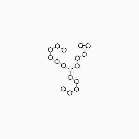 c1ccc(-c2cccc(-c3cccc(-c4cccc(-c5ccc(-c6ccc(-c7nc(-c8cccc(-c9cccc(-c%10cccc(-c%11cccc(-c%12ccccc%12)c%11)c%10)c9)c8)nc(-c8cccc(-c9cccc(-c%10cccc(-n%11c%12ccccc%12c%12ccccc%12%11)c%10)c9)c8)n7)cc6)cc5)c4)c3)c2)cc1